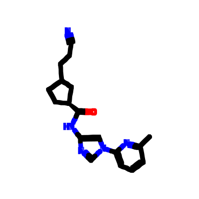 Cc1cccc(-n2cnc(NC(=O)[C@H]3CCC(CCC#N)C3)c2)n1